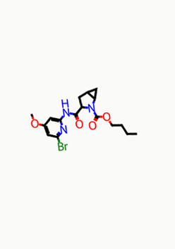 CCCCOC(=O)N1C(C(=O)Nc2cc(OC)cc(Br)n2)CC2CC21